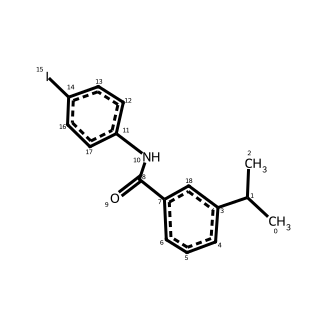 CC(C)c1cccc(C(=O)Nc2ccc(I)cc2)c1